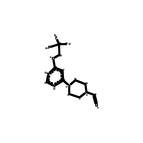 O=CN1CCN(c2cc(OCC(F)(F)F)ncn2)CC1